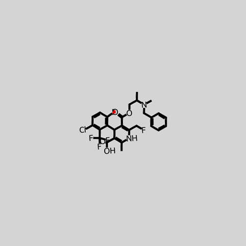 CC1=C(C(=O)O)C(c2c(F)ccc(Cl)c2C(F)(F)F)C(C(=O)OCC(C)N(C)Cc2ccccc2)=C(CF)N1